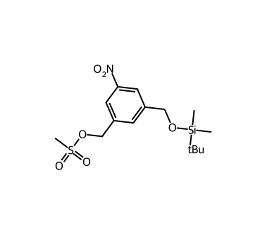 CC(C)(C)[Si](C)(C)OCc1cc(COS(C)(=O)=O)cc([N+](=O)[O-])c1